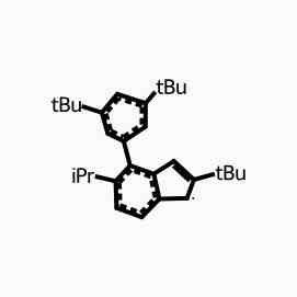 CC(C)c1ccc2c(c1-c1cc(C(C)(C)C)cc(C(C)(C)C)c1)C=C(C(C)(C)C)[CH]2